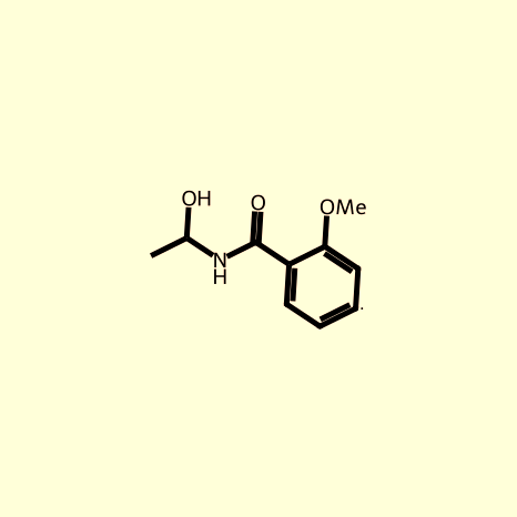 COc1c[c]ccc1C(=O)NC(C)O